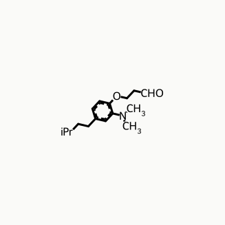 CC(C)CCc1ccc(OCCC=O)c(N(C)C)c1